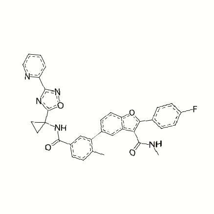 CNC(=O)c1c(-c2ccc(F)cc2)oc2ccc(-c3cc(C(=O)NC4(c5nc(-c6ccccn6)no5)CC4)ccc3C)cc12